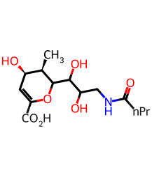 CCCC(=O)NCC(O)C(O)C1OC(C(=O)O)=C[C@@H](O)[C@H]1C